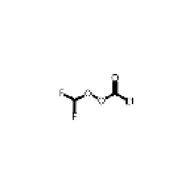 CCC(=O)OOC(F)F